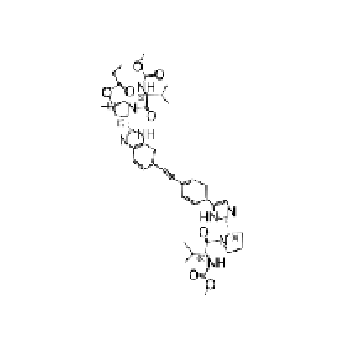 CCC(=O)O[C@@]1(C)C[C@@H](c2nc3ccc(C#Cc4ccc(-c5cnc([C@@H]6CCCN6C(=O)[C@@H](NC(=O)OC)C(C)C)[nH]5)cc4)cc3[nH]2)N(C(=O)[C@@H](NC(=O)OC)C(C)C)C1